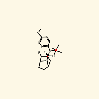 CSc1ncc(N(C)C2CC3CCC(C2F)N3C(=O)OC(C)(C)C)nn1